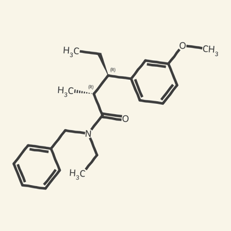 CC[C@@H](c1cccc(OC)c1)[C@@H](C)C(=O)N(CC)Cc1ccccc1